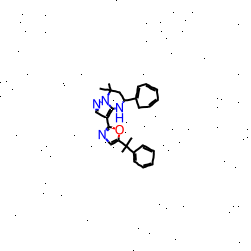 CC(C)(c1ccccc1)c1cnc(-c2cnn3c2NC(C2=CC=CC=CC2)CC3(C)C)o1